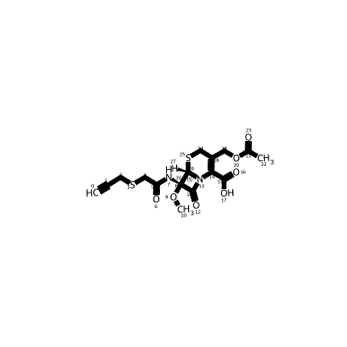 C#CCSCC(=O)N[C@]1(OC)C(=O)N2C(C(=O)O)=C(COC(C)=O)CS[C@H]21